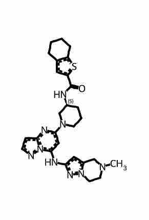 CN1CCn2nc(Nc3cc(N4CCC[C@H](NC(=O)c5cc6c(s5)CCCC6)C4)nc4ccnn34)cc2C1